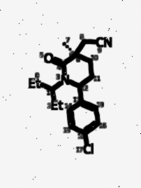 CCC(CC)N1C(=O)[C@@](C)(CC#N)CCC1c1ccc(Cl)cc1